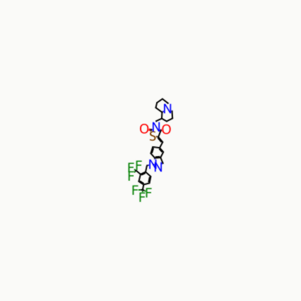 O=C1SC(=Cc2ccc3c(cnn3Cc3ccc(C(F)(F)F)cc3C(F)(F)F)c2)C(=O)N1CC1CCCN2CCCCC12